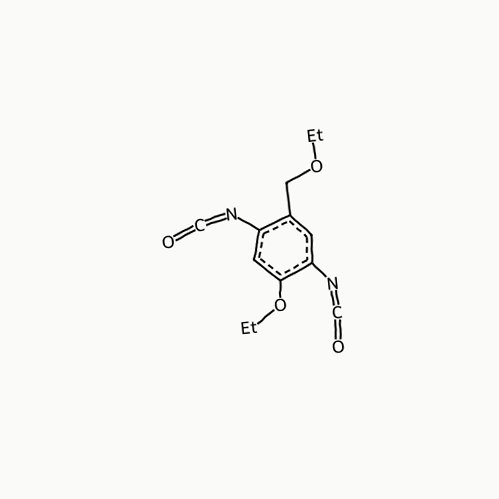 CCOCc1cc(N=C=O)c(OCC)cc1N=C=O